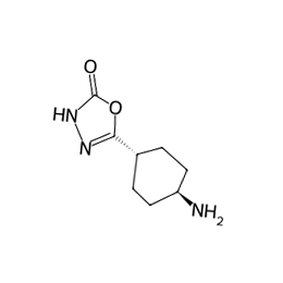 N[C@H]1CC[C@H](c2n[nH]c(=O)o2)CC1